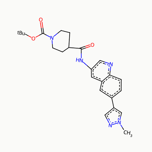 Cn1cc(-c2ccc3ncc(NC(=O)C4CCN(C(=O)OC(C)(C)C)CC4)cc3c2)cn1